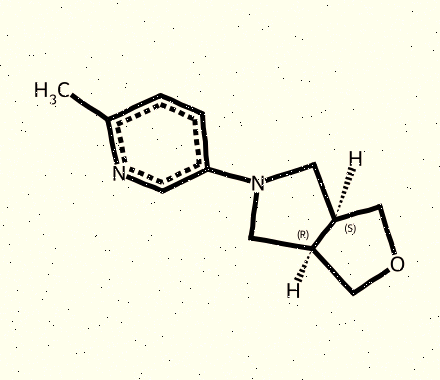 Cc1ccc(N2C[C@H]3COC[C@H]3C2)cn1